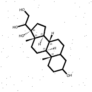 C[C@]12CCC(O)CC1CC[C@@H]1[C@@H]2CC[C@@]2(C)[C@H]1CC[C@]2(O)C(O)CO